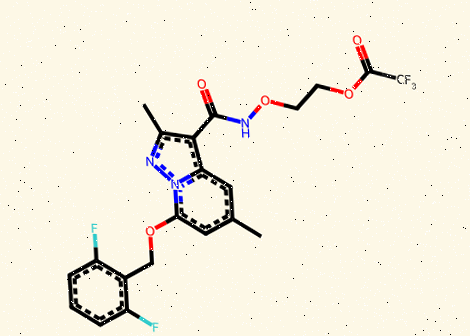 Cc1cc(OCc2c(F)cccc2F)n2nc(C)c(C(=O)NOCCOC(=O)C(F)(F)F)c2c1